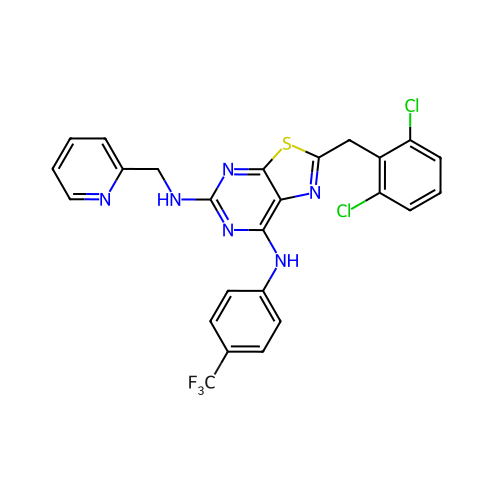 FC(F)(F)c1ccc(Nc2nc(NCc3ccccn3)nc3sc(Cc4c(Cl)cccc4Cl)nc23)cc1